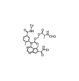 CCNC(=O)c1cn2ncnc(N(C(=O)OCOC(=O)C(C)NC=O)c3cc(C(=O)NC4CC4)ccc3C)c2c1C